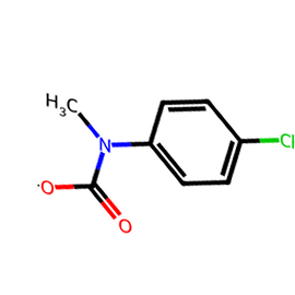 CN(C([O])=O)c1ccc(Cl)cc1